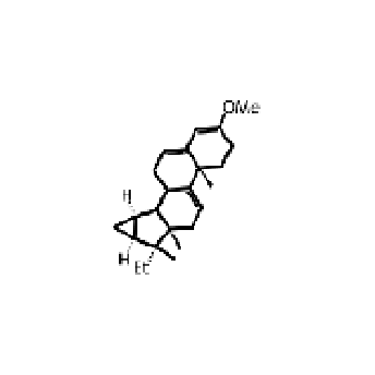 CC[C@]1(C)[C@H]2C[C@H]2C2C3CC=C4C=C(OC)CC[C@]4(C)C3=CC[C@@]21C